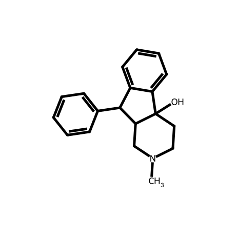 CN1CCC2(O)c3ccccc3C(c3ccccc3)C2C1